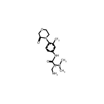 CN(C)[C@@H](CN)C(=O)Nc1ccc(N2CCOCC2=O)c(C(F)(F)F)c1